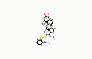 C[C@H](CSSc1ccccc1N)C1CCC2C3=CCC4C[C@@H](O)CC[C@]4(C)C3CC[C@@]21C